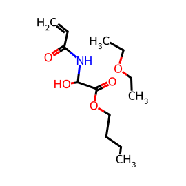 C=CC(=O)NC(O)C(=O)OCCCC.CCOCC